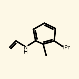 C=CNc1cccc(C(C)C)c1C